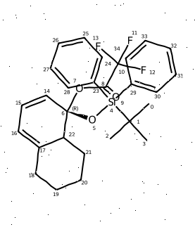 CC(C)(C)[Si](O[C@]1(OC(=O)C(F)(F)F)C=CC=C2CCCCC21)(c1ccccc1)c1ccccc1